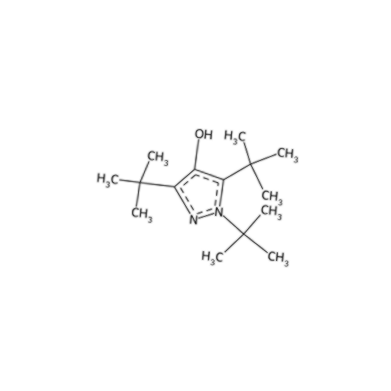 CC(C)(C)c1nn(C(C)(C)C)c(C(C)(C)C)c1O